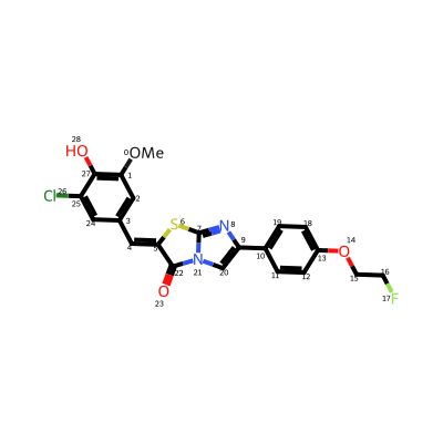 COc1cc(/C=c2\sc3nc(-c4ccc(OCCF)cc4)cn3c2=O)cc(Cl)c1O